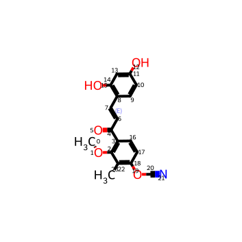 COc1c(C(=O)/C=C/c2ccc(O)cc2O)ccc(OC#N)c1C